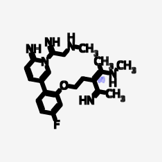 CNCC(=N)n1cc(-c2ccc(F)cc2OCC/C(C(C)=N)=C(\C)NC)ccc1=N